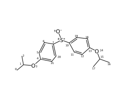 CC(C)Oc1ccc([S+]([O-])c2ccc(OC(C)C)cc2)cc1